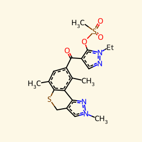 CCn1ncc(C(=O)c2cc(C)c3c(c2C)-c2nn(C)cc2CS3)c1OS(C)(=O)=O